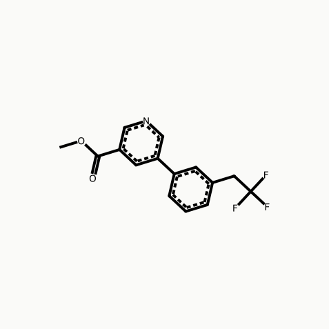 COC(=O)c1cncc(-c2cccc(CC(F)(F)F)c2)c1